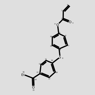 C=CC(=O)Oc1ccc(Sc2ccc(C(=O)CC)cc2)cc1